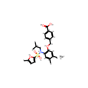 Cc1ccc(S(=O)(=O)N(CC(C)C)c2cc(C)c(C)cc2OCc2ccc(C(=O)[O-])cc2)o1.[Na+]